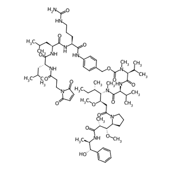 CC[C@H](C)[C@@H]([C@@H](CC(=O)N1CCC[C@H]1[C@H](OC)[C@@H](C)C(=O)N[C@H](C)[C@@H](O)c1ccccc1)OC)N(C)C(=O)[C@@H](NC(=O)[C@H](C(C)C)N(C)C(=O)OCc1ccc(NC(=O)[C@H](CCCNC(N)=O)NC(=O)[C@H](CC(C)C)NC(=O)[C@@H](CC(C)C)NC(=O)CCN2C(=O)C=CC2=O)cc1)C(C)C